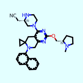 CN1CCC[C@H]1COc1nc2c(c(N3CCN[C@@H](CC#N)C3)n1)CC1(CC1)N(c1cccc3ccccc13)C2